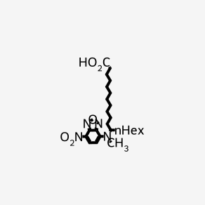 CCCCCCC(CCCCCCCCCCC(=O)O)N(C)c1ccc([N+](=O)[O-])c2nonc12